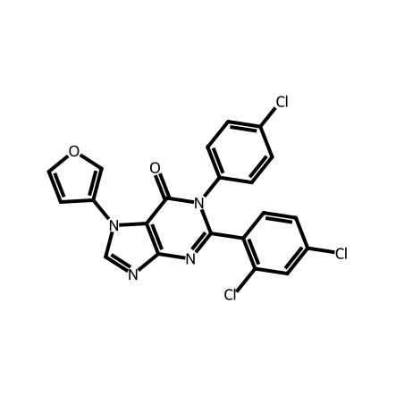 O=c1c2c(ncn2-c2ccoc2)nc(-c2ccc(Cl)cc2Cl)n1-c1ccc(Cl)cc1